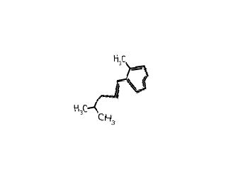 Cc1ccccc1C=CCC(C)C